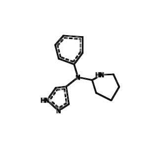 c1ccc(N(c2cn[nH]c2)C2CCCCN2)cc1